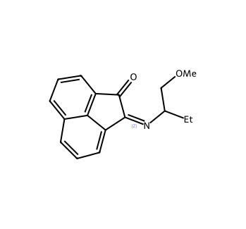 CCC(COC)/N=C1\C(=O)c2cccc3cccc1c23